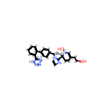 CCCCC1(c2nccn2Cc2ccc(-c3ccccc3-c3nnn[nH]3)cc2)C=CC(CCO)=CN1O